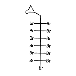 BrC(Br)(Br)C(Br)(Br)C(Br)(Br)C(Br)(Br)C(Br)(Br)C(Br)(Br)CC1CO1